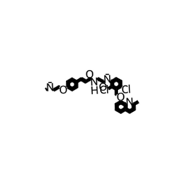 Cc1ccc2cccc(OCc3c(Cl)ccc(N(C)C(=O)CNC(=O)C=Cc4ccc(OCCN(C)C)cc4)c3Cl)c2n1